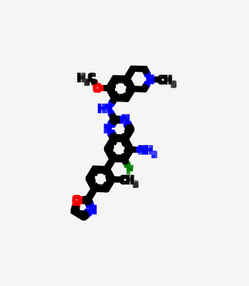 COc1cc2c(cc1Nc1ncc3c(N)c(F)c(-c4ccc(-c5ncco5)cc4C)cc3n1)CN(C)CC2